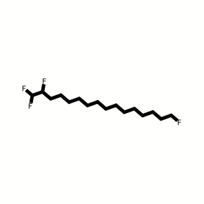 FCCCCCCCCCCCCCCC(F)C(F)F